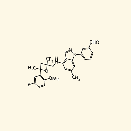 COc1ccc(F)cc1C1(C)CC(CNc2cc(C)cc3c2cnn3-c2cccc(C=O)c2)(C(F)(F)F)O1